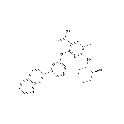 NC(=O)c1cc(F)c(NC2CCCC[C@@H]2N)nc1Nc1cncc(-c2ccc3cccnc3c2)c1